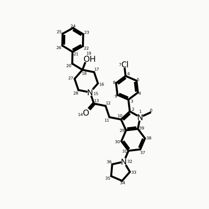 Cn1c(-c2ccc(Cl)cc2)c(CCC(=O)N2CCC(O)(Cc3ccccc3)CC2)c2cc(N3CCCC3)ccc21